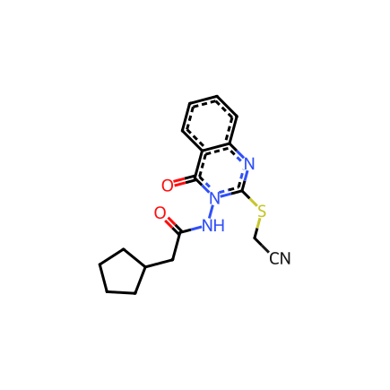 N#CCSc1nc2ccccc2c(=O)n1NC(=O)CC1CCCC1